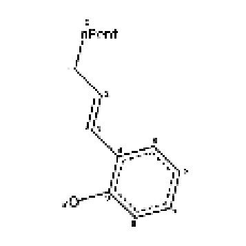 CCCCCCC=Cc1ccccc1[O]